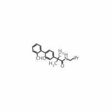 CC(C)CNC(=O)C(C)(C)c1ccc(-c2ccccc2C=O)cc1